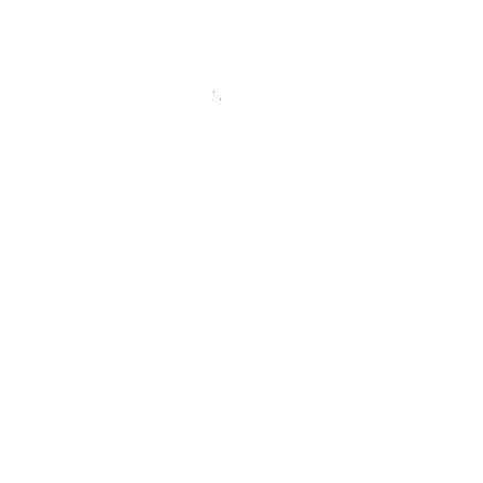 c1ccc(-c2cc(-c3ccc(-c4ccc5ccc(-c6ccc7c(c6)C(c6ccccc6)(c6ccccc6)c6ccccc6-7)cc5c4)cc3)c3ccccc3n2)cc1